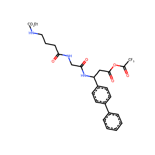 CCOC(=O)NCCCC(=O)NCC(=O)NC(CC(=O)OC(=O)C(F)(F)F)c1ccc(-c2ccccc2)cc1